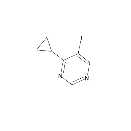 Ic1cncnc1C1CC1